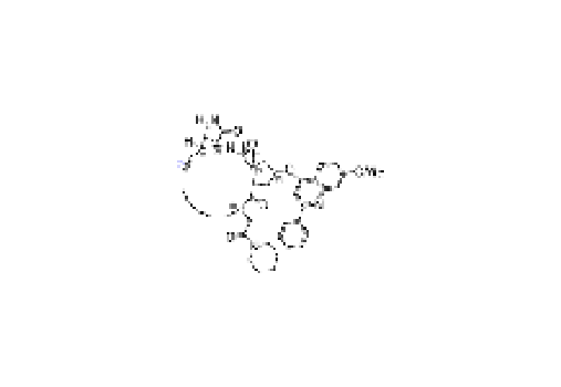 COc1ccc2c(O[C@H]3CC4C(=O)[C@@H](CC(=O)N5CCCCC5)CCCCC/C=C\[C@H]5C[C@]5(C(N)=O)NC(=O)[C@@H]4C3)cc(-c3ccccc3)nc2c1